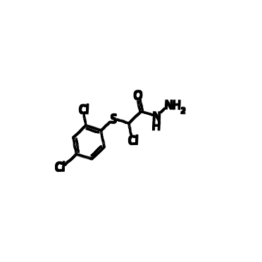 NNC(=O)C(Cl)Sc1ccc(Cl)cc1Cl